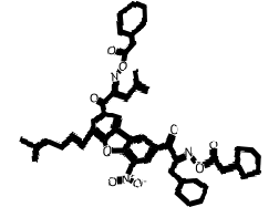 CC(C)CCCCc1cc(C(=O)/C(CC(C)C)=N/OC(=O)CC2CCCCC2)cc2c1oc1c([N+](=O)[O-])cc(C(=O)/C(CC3CCCCC3)=N/OC(=O)CC3CCCCC3)cc12